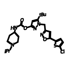 CC(C)N1CCC(NC(=O)Oc2cc(C(C)(C)C)n(Cc3cc(-c4ccc(Cl)s4)on3)n2)CC1